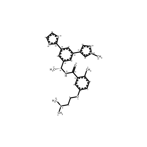 Cc1ccc(OCCN(C)C)cc1C(=O)N[C@H](C)c1cc(-c2cnn(C)c2)cc(-c2nccs2)c1